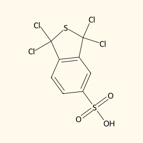 O=S(=O)(O)c1ccc2c(c1)C(Cl)(Cl)SC2(Cl)Cl